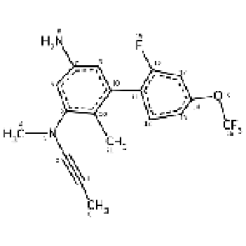 CC#CN(C)c1cc(N)cc(-c2ccc(OC(F)(F)F)cc2F)c1C